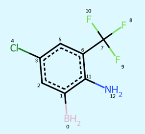 Bc1cc(Cl)cc(C(F)(F)F)c1N